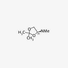 CN[C@@H]1COC(C)(C)O1